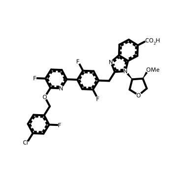 CO[C@H]1COC[C@H]1n1c(Cc2cc(F)c(-c3ccc(F)c(OCc4ccc(Cl)cc4F)n3)cc2F)nc2ccc(C(=O)O)cc21